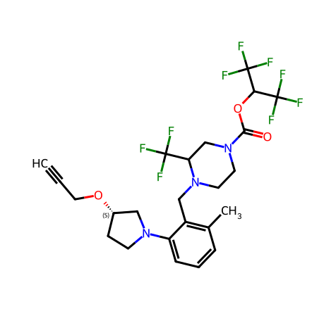 C#CCO[C@H]1CCN(c2cccc(C)c2CN2CCN(C(=O)OC(C(F)(F)F)C(F)(F)F)CC2C(F)(F)F)C1